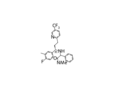 CNC(=O)C(N[C@H](CCc1ccc(C(F)(F)F)cn1)c1ccc(F)c(C)c1)c1ccccc1